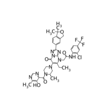 CCc1c(N2CCN(C(=O)c3ncnc(C)c3O)[C@H](C)C2)c(=O)n2nc(-c3ccc4c(c3)COC4(C)C)nc2n1CC(=O)Nc1ccc(C(F)(F)F)cc1Cl